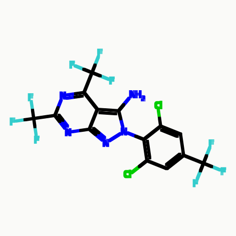 Nc1c2c(C(F)(F)F)nc(C(F)(F)F)nc2nn1-c1c(Cl)cc(C(F)(F)F)cc1Cl